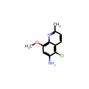 COc1cc(N)c(Cl)c2ccc(C)nc12